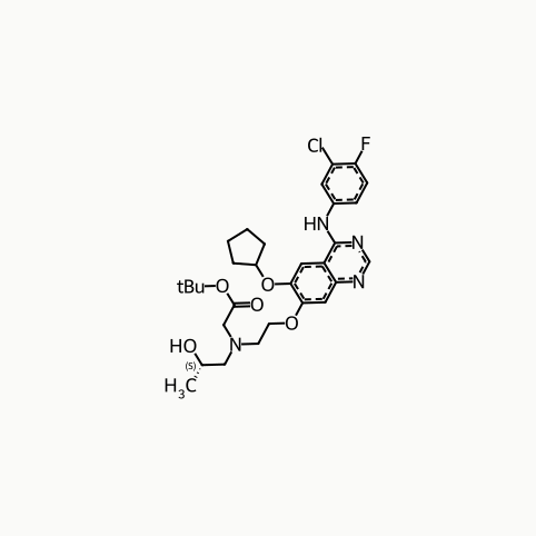 C[C@H](O)CN(CCOc1cc2ncnc(Nc3ccc(F)c(Cl)c3)c2cc1OC1CCCC1)CC(=O)OC(C)(C)C